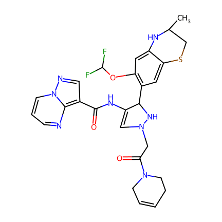 CC1CSc2cc(C3NN(CC(=O)N4CC=CCC4)C=C3NC(=O)c3cnn4cccnc34)c(OC(F)F)cc2N1